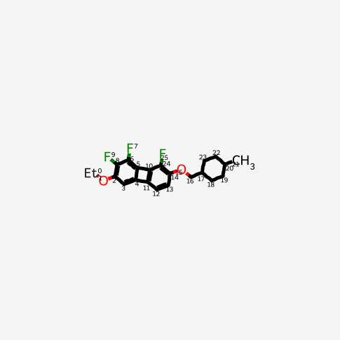 CCOc1cc2c(c(F)c1F)-c1c-2ccc(OCC2CCC(C)CC2)c1F